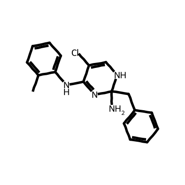 Cc1ccccc1NC1=NC(N)(Cc2ccccc2)NC=C1Cl